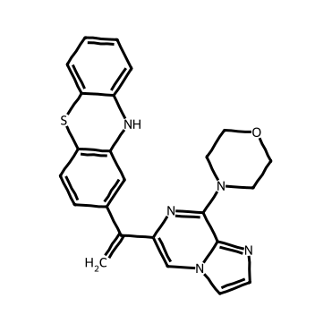 C=C(c1ccc2c(c1)Nc1ccccc1S2)c1cn2ccnc2c(N2CCOCC2)n1